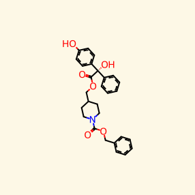 O=C(OCc1ccccc1)N1CCC(COC(=O)[C@](O)(c2ccccc2)c2ccc(O)cc2)CC1